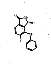 O=C1NC(=O)c2c1ccc(F)c2Nc1ccccc1